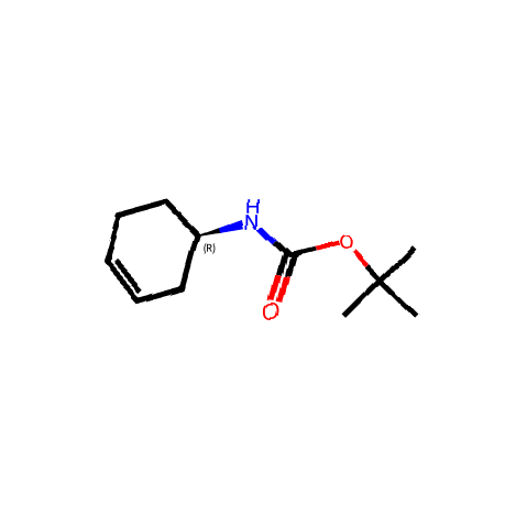 CC(C)(C)OC(=O)N[C@H]1CC=CCC1